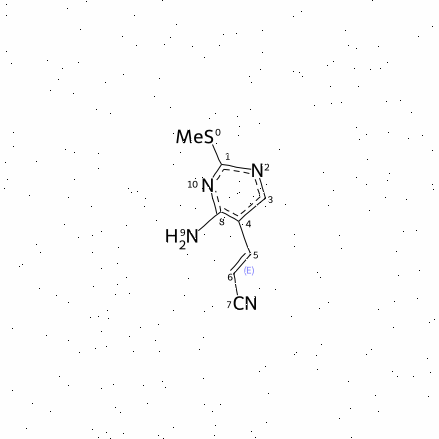 CSc1ncc(/C=C/C#N)c(N)n1